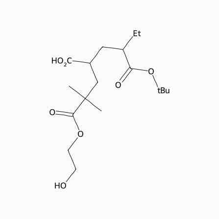 CCC(CC(CC(C)(C)C(=O)OCCO)C(=O)O)C(=O)OC(C)(C)C